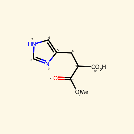 COC(=O)C(Cc1c[nH]cn1)C(=O)O